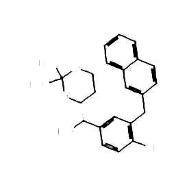 CC1(C)OCC[C@H](C(O)c2ccc(Cl)c(Cc3ccc4ccccc4c3)c2)O1